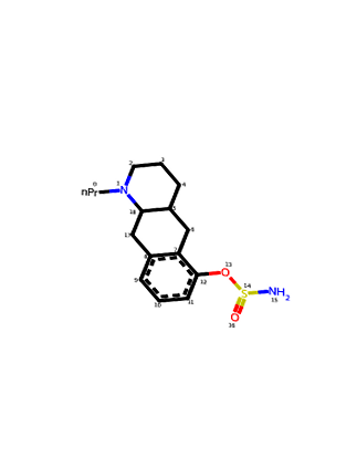 CCCN1CCCC2Cc3c(cccc3OS(N)=O)CC21